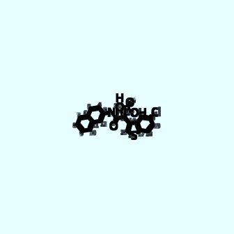 O=C(Nc1ccc2ccccc2c1)C(c1csc2ccc(Cl)cc12)P(=O)(O)O